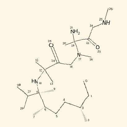 CC[C@H](C)CC[C@H](C)[C@](C)(NC(C)(C)C(=O)CN(C)C(C)(N)C(=O)CNC)C(C)C